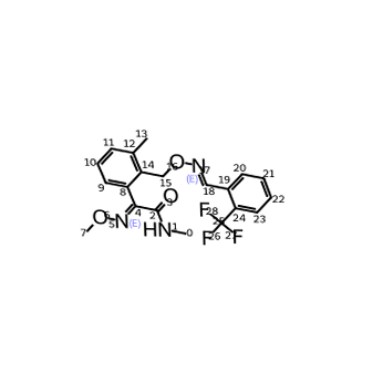 CNC(=O)/C(=N/OC)c1cccc(C)c1CO/N=C/c1ccccc1C(F)(F)F